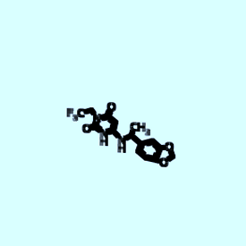 CC(Nc1cc(=O)n(CC(F)(F)F)c(=O)[nH]1)c1ccc2c(c1)OCO2